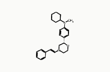 CN(c1ccc([C@H]2CN(C=Cc3ccccc3)CCO2)cc1)C1CCCCC1